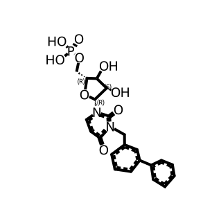 O=c1ccn([C@@H]2O[C@H](COP(=O)(O)O)C(O)[C@@H]2O)c(=O)n1Cc1cccc(-c2ccccc2)c1